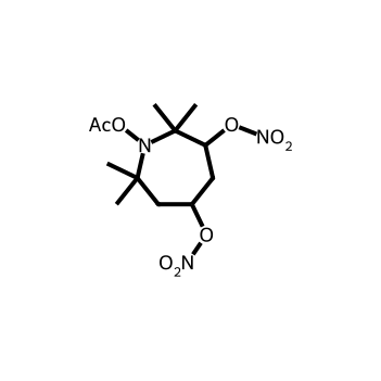 CC(=O)ON1C(C)(C)CC(O[N+](=O)[O-])CC(O[N+](=O)[O-])C1(C)C